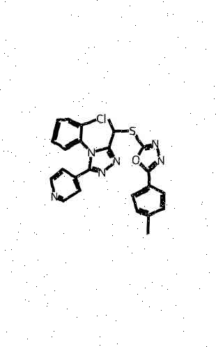 Cc1ccc(-c2nnc(SC(C)c3nnc(-c4ccncc4)n3-c3ccccc3Cl)o2)cc1